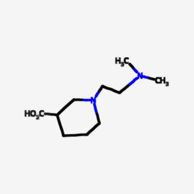 CN(C)CCN1CCCC(C(=O)O)C1